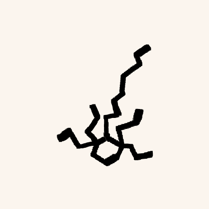 C=CCCC/C=C/CN1C(CC=C)(CC=C)C=CCC1(CC=C)CC=C